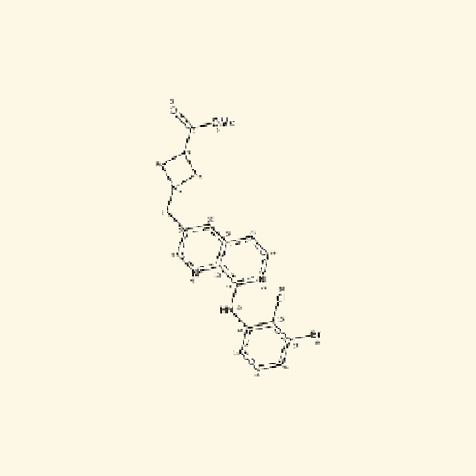 COC(=O)C1CN(Cc2cnc3c(Nc4cccc(Br)c4Cl)nccc3c2)C1